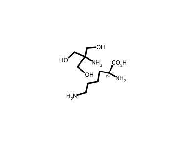 NC(CO)(CO)CO.NCCCC[C@H](N)C(=O)O